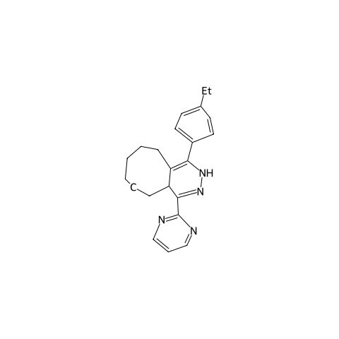 CCc1ccc(C2=C3CCCCCCC3C(c3ncccn3)=NN2)cc1